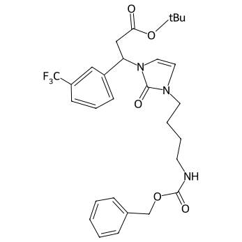 CC(C)(C)OC(=O)CC(c1cccc(C(F)(F)F)c1)n1ccn(CCCCNC(=O)OCc2ccccc2)c1=O